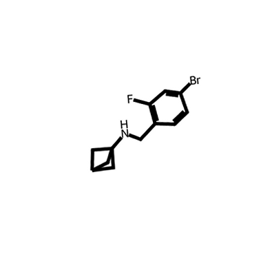 Fc1cc(Br)ccc1CNC12CC(C1)C2